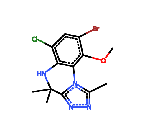 COc1c(Br)cc(Cl)c2c1-n1c(C)nnc1C(C)(C)N2